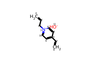 C=CC[n+]1ccc(C=C)cc1.[OH-]